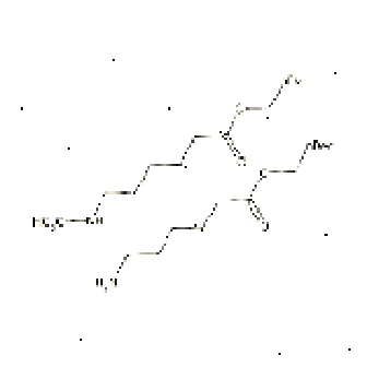 CCCCCCCCCCCOC(=O)CCCCCN.CCCCCCCCCCCOC(=O)CCCCCNC(=O)O